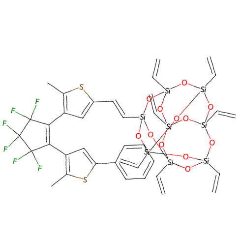 C=C[Si]12O[Si]3(C=C)O[Si]4(C=C)O[Si](C=C)(O1)O[Si]1(C=C)O[Si](C=C)(O2)O[Si](C=C)(O3)O[Si](/C=C/c2cc(C3=C(c5cc(-c6ccccc6)sc5C)C(F)(F)C(F)(F)C3(F)F)c(C)s2)(O4)O1